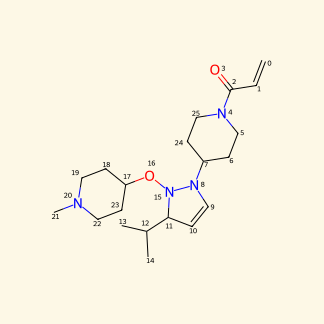 C=CC(=O)N1CCC(N2C=CC(C(C)C)N2OC2CCN(C)CC2)CC1